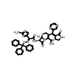 Nc1nc(C(=NOC(c2ccccc2)(c2ccccc2)c2ccccc2)C(=O)N[C@@H]2C(=O)N3C(C(=O)O)=C(C(=C4CCNC4=O)c4cnccn4)CS[C@H]23)cs1